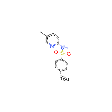 Cc1ccc(NS(=O)(=O)c2ccc(C(C)(C)C)cc2)nc1